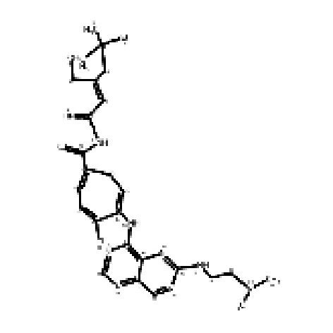 CCC(C)(C)C/C(=C/C(=N)NC(=O)C1=CC=C(Cl)C(Nc2ncnc3cnc(NCCN(C)C)nc23)=CC1)CO